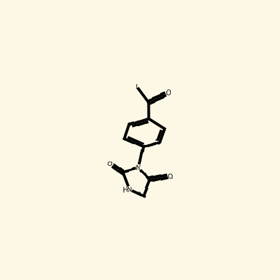 O=C(I)c1ccc(N2C(=O)CNC2=O)cc1